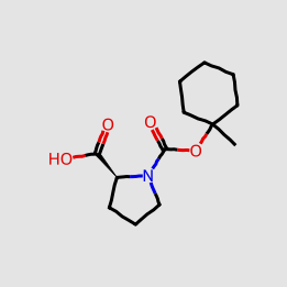 CC1(OC(=O)N2CCC[C@H]2C(=O)O)CCCCC1